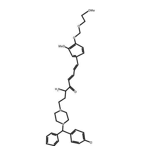 COCCOCOc1ccc(C=CC=CC(=O)C(N)CCN2CCN(C(c3ccccc3)c3ccc(Cl)cc3)CC2)cc1OC